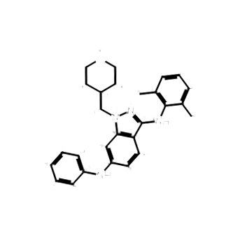 Cc1cccc(C)c1Nc1nn(CC2CCOCC2)c2cc(Nc3ccccc3)ccc12